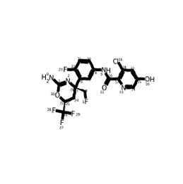 NC1=N[C@](CF)(c2cc(NC(=O)c3ncc(O)cc3Cl)ccc2F)C[C@@H](C(F)(F)F)O1